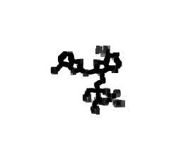 Nc1ncnc2c1nc(Sc1nc3cccc(Cl)c3s1)n2CCC(CCl)(CCCl)OP(=O)(O)O